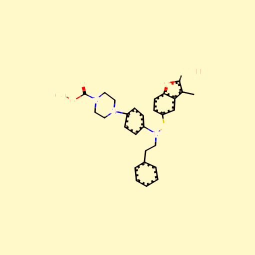 Cc1c(C(=O)O)oc2ccc(SN(CCc3ccccc3)c3ccc(N4CCN(C(=O)OC(C)(C)C)CC4)cc3)cc12